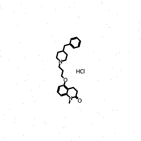 CN1C(=O)CCc2c(OCCCN3CCC(Cc4ccccc4)CC3)cccc21.Cl